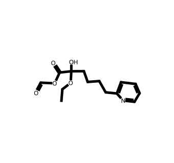 CCOC(O)(CCCCc1ccccn1)C(=O)OC=O